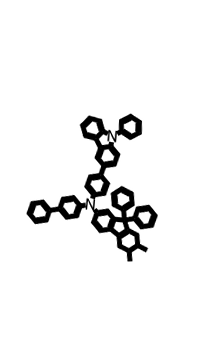 CC1CC2=C(CC1C)C(c1ccccc1)(c1ccccc1)c1cc(N(c3ccc(-c4ccccc4)cc3)c3ccc(-c4ccc5c(c4)c4ccccc4n5-c4ccccc4)cc3)ccc12